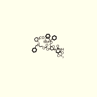 Cc1cn([C@H]2C[C@H](OC(=O)OCCN(Cc3ccccc3)C[C@@H]3CCCN3C(=O)O)[C@@H](CO[Si](c3ccccc3)(c3ccccc3)C(C)(C)C)O2)c(=O)[nH]c1=O